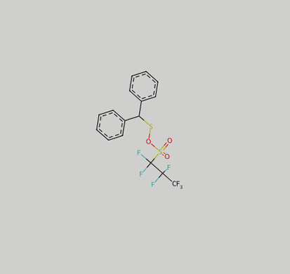 O=S(=O)(OSC(c1ccccc1)c1ccccc1)C(F)(F)C(F)(F)C(F)(F)F